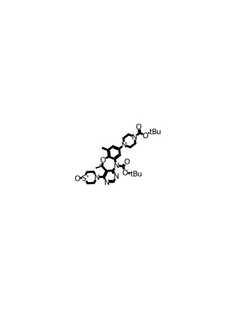 Cc1cc(N2CCN(C(=O)OC(C)(C)C)CC2)cc2c1O[C@H](C)c1c(N3CC[S+]([O-])CC3)ncnc1N2C(=O)OC(C)(C)C